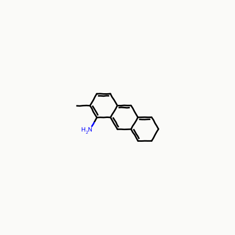 Cc1ccc2cc3c(cc2c1N)=CCCC=3